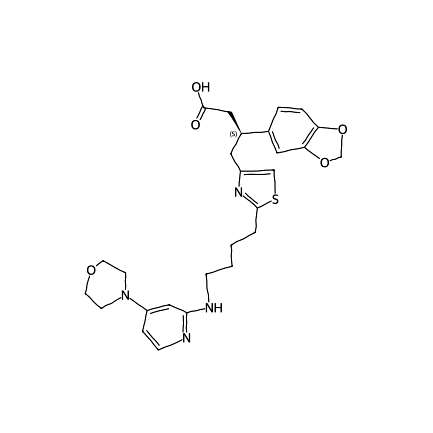 O=C(O)C[C@H](Cc1csc(CCCCNc2cc(N3CCOCC3)ccn2)n1)c1ccc2c(c1)OCO2